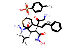 CC(C)C[C@H](C(=O)NN)[C@@H](C(=O)NO)C(/C=C/c1ccccc1)(C(=O)[C@@H](C)N)C1CCSCC1.Cc1ccc(S(=O)(=O)O)cc1